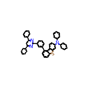 c1ccc(-c2cc(-c3ccccc3)nc(-c3cccc(-c4cccc5sc6cc(N(c7ccccc7)c7ccccc7)ccc6c45)c3)n2)cc1